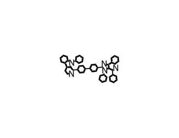 c1ccc(-c2nc3ccccc3c3nc(-c4ccc(-c5ccc(-c6nccc7c8ccccc8n(-c8ccccc8)c67)cc5)cc4)n(-c4ccccc4)c23)cc1